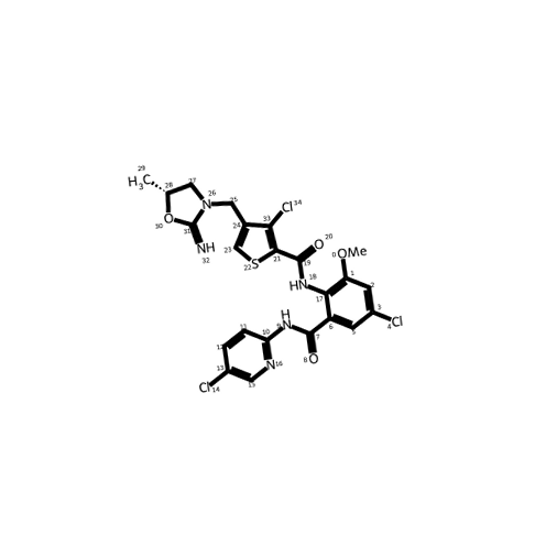 COc1cc(Cl)cc(C(=O)Nc2ccc(Cl)cn2)c1NC(=O)c1scc(CN2C[C@@H](C)OC2=N)c1Cl